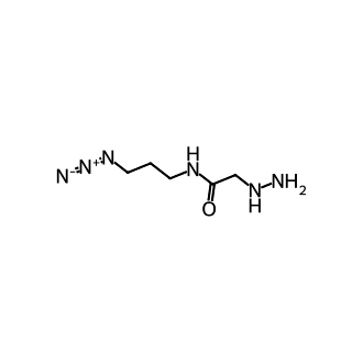 [N-]=[N+]=NCCCNC(=O)CNN